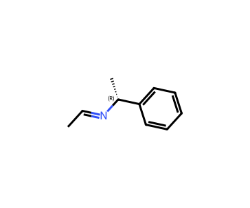 CC=N[C@H](C)c1ccccc1